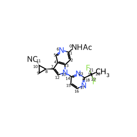 CC(=O)Nc1cc2c(cn1)c([C@H]1C[C@@H]1C#N)cn2-c1ccnc(C(C)(F)F)n1